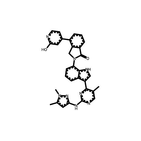 Cc1cnc(Nc2cc(C)n(C)n2)nc1-c1c[nH]c2c(N3Cc4c(cccc4-c4ccnc(O)c4)C3=O)cccc12